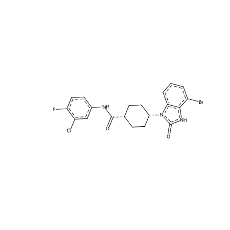 O=c1[nH]c2c(Br)cccc2n1[C@H]1CC[C@@H](C(=O)Nc2ccc(F)c(Cl)c2)CC1